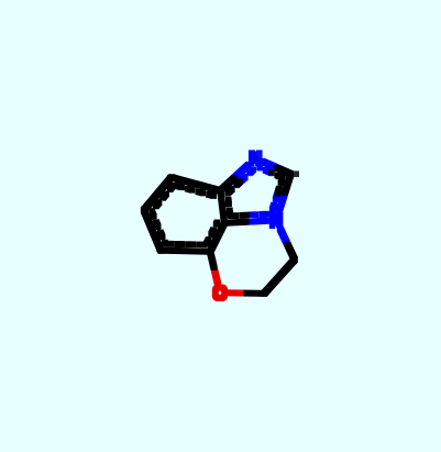 [c]1nc2cccc3c2n1CCO3